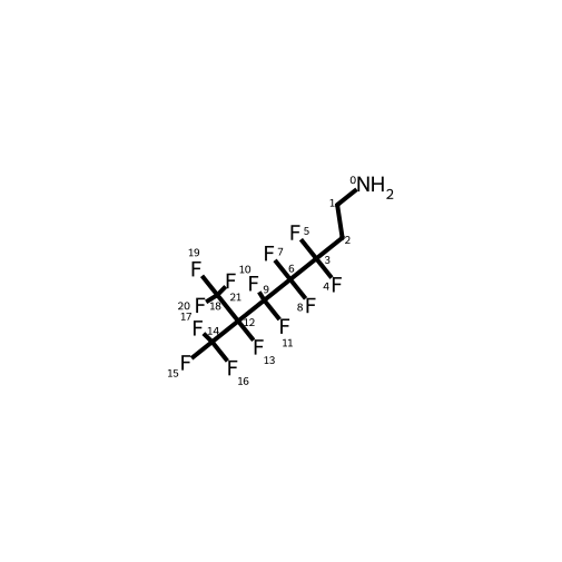 NCCC(F)(F)C(F)(F)C(F)(F)C(F)(C(F)(F)F)C(F)(F)F